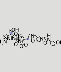 Nc1nc(/C(=N/O)C(=O)N[C@@H]2C(=O)N3C(C(=O)[O-])=C(/C=C4\CCN(Cc5ccc[n+](CC(=O)Nc6cccc(O)c6)c5)C4=O)CS[C@H]23)cs1